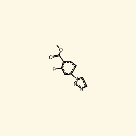 COC(=O)c1ccc(-n2ccnn2)cc1F